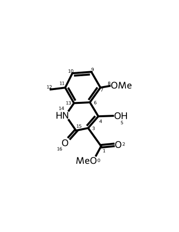 COC(=O)c1c(O)c2c(OC)ccc(C)c2[nH]c1=O